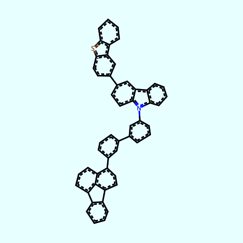 c1cc(-c2cccc(-n3c4ccccc4c4cc(-c5ccc6sc7ccccc7c6c5)ccc43)c2)cc(-c2ccc3c4c(cccc24)-c2ccccc2-3)c1